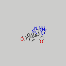 COC1(c2cccc(-c3cc([N+]4(C5CCOCC5)C=CN=N4)c4c(N)ncnn34)c2)CCOCC1